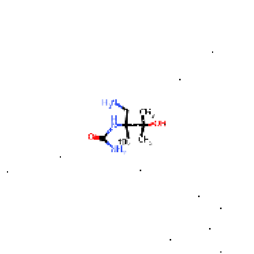 CC(C)(C)C(CN)(NC(N)=O)C(C)(C)O